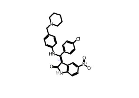 O=C1Nc2ccc([N+](=O)[O-])cc2/C1=C(/Nc1ccc(CN2CCCCC2)cc1)c1ccc(Cl)cc1